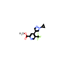 COC(=O)c1cc(-c2cnn(C3CC3)c2)c(C(F)(F)F)cn1